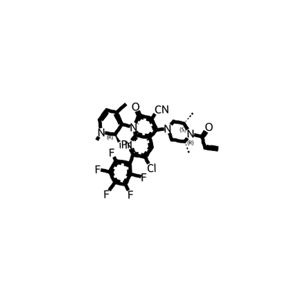 C=CC(=O)N1[C@H](C)CN(c2c(C#N)c(=O)n(C3=C(C)C=CN(C)[C@@H]3C(C)C)c3nc(-c4c(F)c(F)c(F)c(F)c4F)c(Cl)cc23)C[C@@H]1C